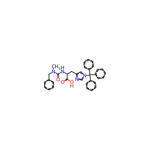 CN(Cc1ccccc1)C(=O)NC(Cc1cn(C(c2ccccc2)(c2ccccc2)c2ccccc2)cn1)C(=O)O